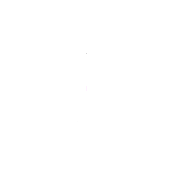 CC(=O)O[I]OC(C)=O